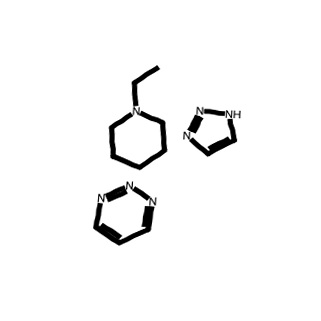 CCN1CCCCC1.c1c[nH]nn1.c1cnnnc1